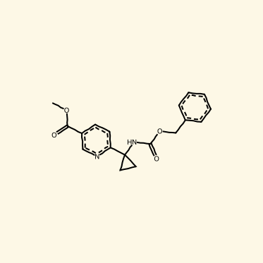 COC(=O)c1ccc(C2(NC(=O)OCc3ccccc3)CC2)nc1